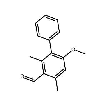 COc1cc(C)c(C=O)c(C)c1-c1ccccc1